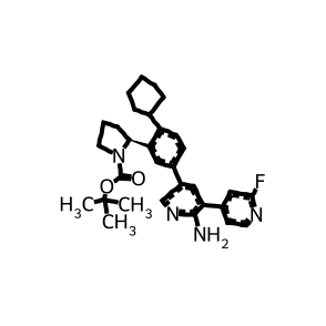 CC(C)(C)OC(=O)N1CCC[C@H]1c1cc(-c2cnc(N)c(-c3ccnc(F)c3)c2)ccc1C1CCCCC1